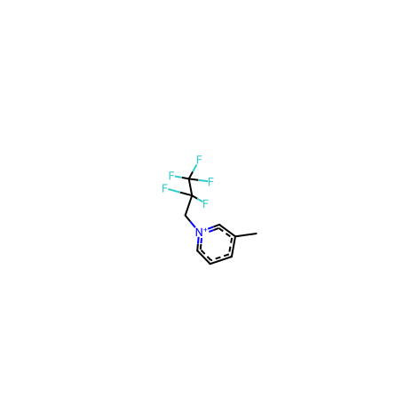 Cc1ccc[n+](CC(F)(F)C(F)(F)F)c1